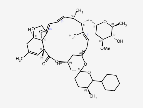 CO[C@H]1C[C@H](C[C@@H]2/C(C)=C/C[C@@H]3C[C@@H](C[C@]4(CC[C@H](C)C(C5CCCCC5)O4)O3)OC(=O)[C@@H]3C=C(C)C[C@H]4OC/C(=C\C=C\[C@@H]2C)[C@]43O)O[C@@H](C)[C@@H]1O